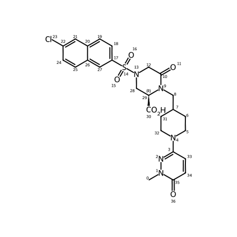 Cn1nc(N2CCC(CN3C(=O)CN(S(=O)(=O)c4ccc5cc(Cl)ccc5c4)C[C@@H]3C(=O)O)CC2)ccc1=O